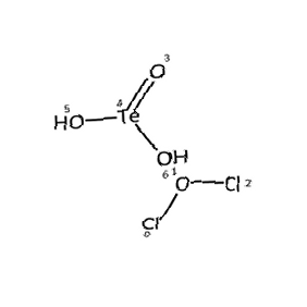 ClOCl.O=[Te](O)O